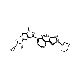 COc1c(-c2cnn([C@@H]3CCCOC3)c2)cccc1-c1nn(C)c2cnc(NC(=O)C3CC3)cc12